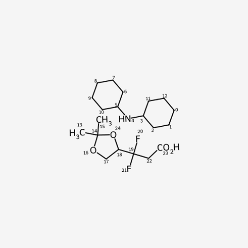 C1CCC(NC2CCCCC2)CC1.CC1(C)OCC(C(F)(F)CC(=O)O)O1